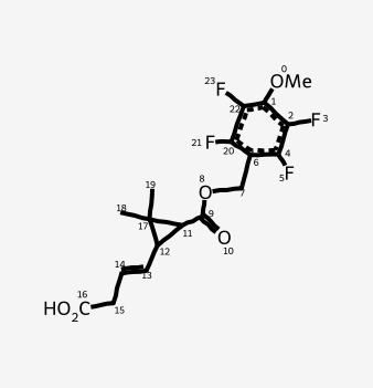 COc1c(F)c(F)c(COC(=O)C2C(C=CCC(=O)O)C2(C)C)c(F)c1F